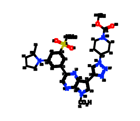 CNS(=O)(=O)c1cc(-c2cnc3c(n2)c(-c2cn(C4CCN(C(=O)OC(C)(C)C)CC4)nn2)cn3C(=O)O)cc(N2CCCC2C)c1